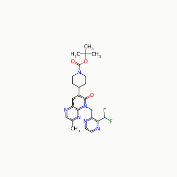 Cc1cnc2cc(C3CCN(C(=O)OC(C)(C)C)CC3)c(=O)n(Cc3nccnc3C(F)F)c2n1